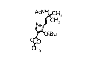 CC(=O)NC(C)(C)/C=C/n1ncc(C2OC(C)O2)c1OCC(C)C